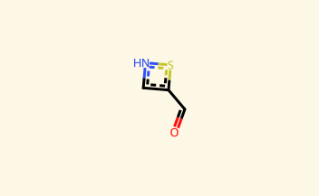 O=Cc1c[nH]s1